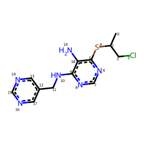 CC(CCl)Sc1ncnc(NCc2cncnc2)c1N